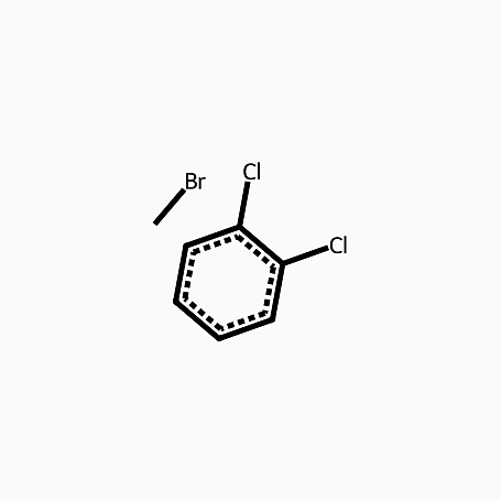 CBr.Clc1ccccc1Cl